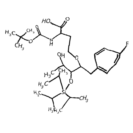 CC(O)C(O[Si](C(C)C)(C(C)C)C(C)C)C(Cc1ccc(F)cc1)OCCC(NC(=O)OC(C)(C)C)C(=O)O